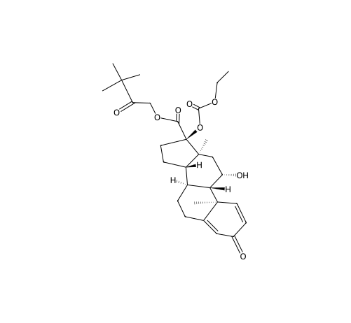 CCOC(=O)O[C@]1(C(=O)OCC(=O)C(C)(C)C)CC[C@H]2[C@@H]3CCC4=CC(=O)C=C[C@]4(C)[C@H]3[C@@H](O)C[C@@]21C